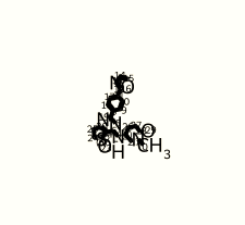 CN1C[C@@H](Nc2nc(-c3ccc(-c4ncco4)cc3)nc3c2[S@+]([O-])CC3)CCC1=O